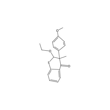 CCOC1Sc2ccccc2C(=O)C1(C)c1ccc(OC)cc1